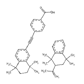 C=C(C)C1CC(C)(C)c2ccccc2C1(C)C.CC1(C)CCC(C)(C)c2cc(C#Cc3ccc(C(=O)O)cc3)ccc21